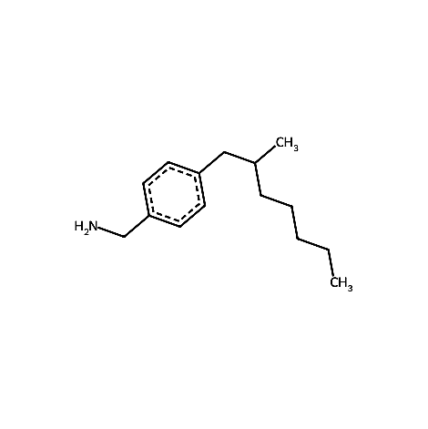 CCCCCC(C)Cc1ccc(CN)cc1